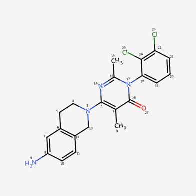 Cc1c(N2CCc3cc(N)ccc3C2)nc(C)n(-c2cccc(Cl)c2Cl)c1=O